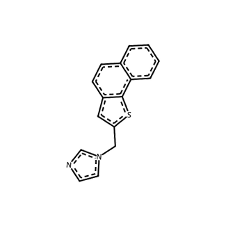 c1ccc2c(c1)ccc1cc(Cn3ccnc3)sc12